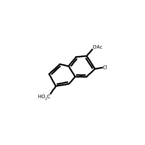 CC(=O)Oc1cc2ccc(C(=O)O)cc2cc1Cl